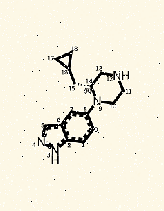 c1cc2[nH]ncc2cc1N1CCNC[C@H]1CC1CC1